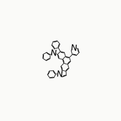 c1ccc(-n2ccc3cc4cc(-c5cccnc5)c5cc6c7ccccc7n(-c7ccccc7)c6cc5c4cc32)cc1